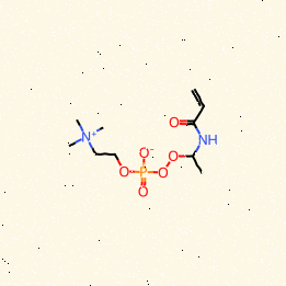 C=CC(=O)NC(C)OOP(=O)([O-])OCC[N+](C)(C)C